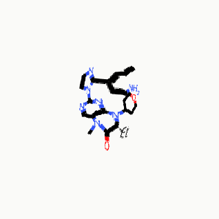 C=C/C=C(\C=C/N)c1nccn1-c1ncc2c(n1)N(C1CCOCC1)[C@H](CC)C(=O)N2C